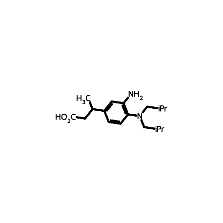 CC(C)CN(CC(C)C)c1ccc(C(C)CC(=O)O)cc1N